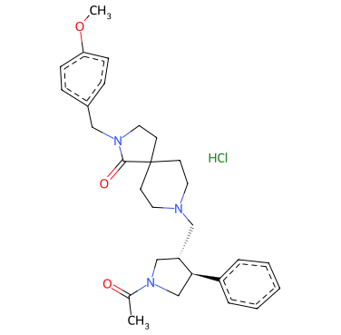 COc1ccc(CN2CCC3(CCN(C[C@H]4CN(C(C)=O)C[C@@H]4c4ccccc4)CC3)C2=O)cc1.Cl